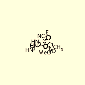 COC(=O)N1c2ccc(/C(C=N)=C/NC3CNC3)c(Oc3cccc(F)c3C#N)c2CC[C@@H]1C